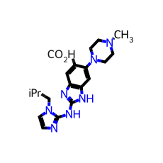 CC(C)Cn1ccnc1Nc1nc2cc(C(=O)O)c(N3CCN(C)CC3)cc2[nH]1